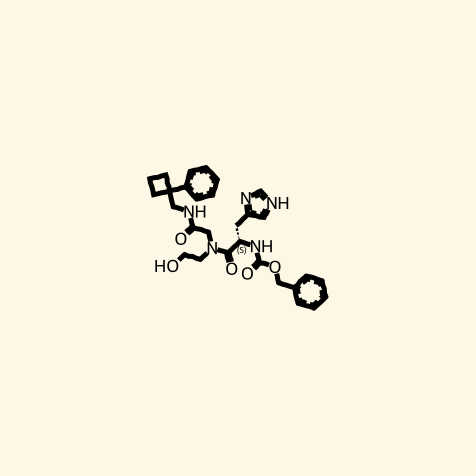 O=C(CN(CCO)C(=O)[C@H](Cc1c[nH]cn1)NC(=O)OCc1ccccc1)NCC1(c2ccccc2)CCC1